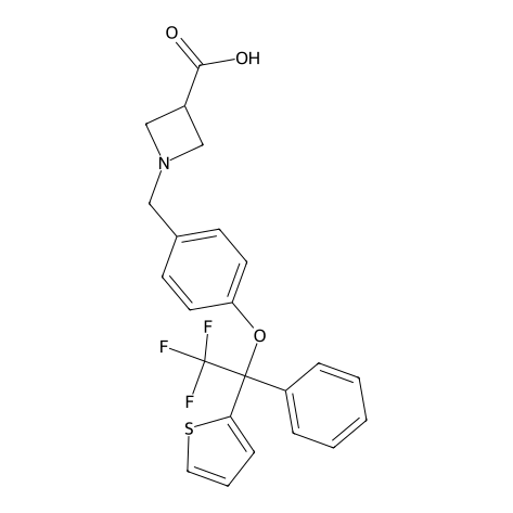 O=C(O)C1CN(Cc2ccc(OC(c3ccccc3)(c3cccs3)C(F)(F)F)cc2)C1